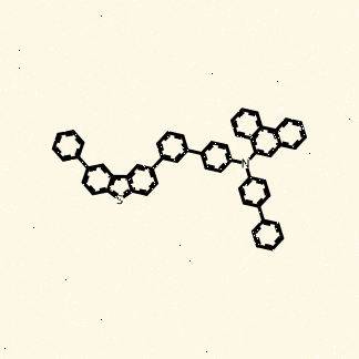 c1ccc(-c2ccc(N(c3ccc(-c4cccc(-c5ccc6sc7ccc(-c8ccccc8)cc7c6c5)c4)cc3)c3cc4ccccc4c4ccccc34)cc2)cc1